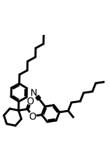 CCCCCCCc1ccc(C2(C(=O)Oc3ccc(C(C)CCCCCC)cc3C#N)CCCCC2)cc1